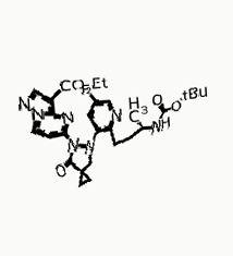 CCOC(=O)c1cnn2ccc(N3C(=O)C4(CC4)CN3c3cc(F)cnc3CC[C@@H](C)NC(=O)OC(C)(C)C)nc12